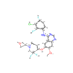 COc1cc2ncnc(Nc3ccc(F)c(Cl)c3F)c2cc1OC1CCN(C2COC2)CC1(F)F